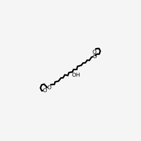 OC(CCCCCCCCCOC1CCCCO1)CCCCCCCCCOC1CCCCO1